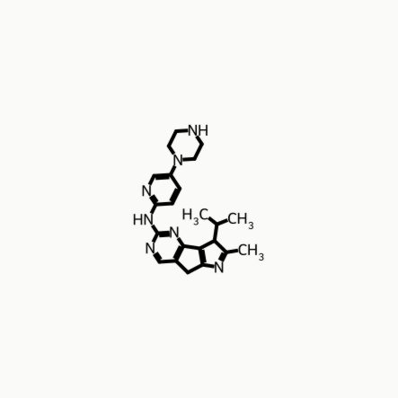 CC1=NC2=C(c3nc(Nc4ccc(N5CCNCC5)cn4)ncc3C2)C1C(C)C